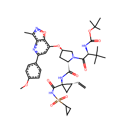 C=C[C@@H]1C[C@]1(NC(=O)[C@@H]1C[C@@H](Oc2cc(-c3ccc(OC)cc3)nc3c(C)noc23)CN1C(=O)[C@@H](NC(=O)OC(C)(C)C)C(C)(C)C)C(=O)NS(=O)(=O)C1CC1